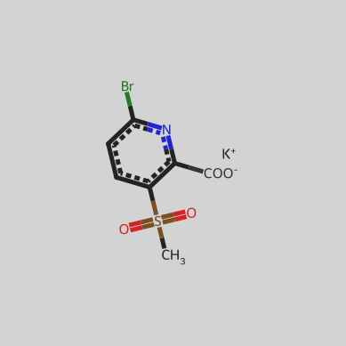 CS(=O)(=O)c1ccc(Br)nc1C(=O)[O-].[K+]